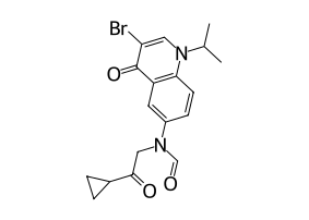 CC(C)n1cc(Br)c(=O)c2cc(N(C=O)CC(=O)C3CC3)ccc21